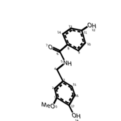 COc1cc(CNC(=O)c2ccc(O)cc2)ccc1O